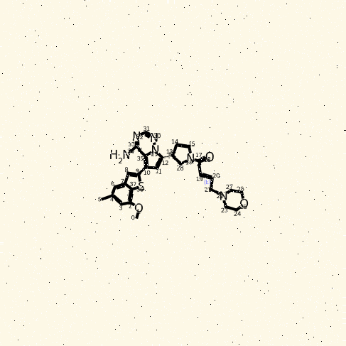 COc1cc(C)cc2cc(-c3cc([C@@H]4CCN(C(=O)/C=C/CN5CCOCC5)C4)n4ncnc(N)c34)sc12